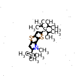 CC(C)[Si](c1cc2sc3c[c]([Sn]([CH3])([CH3])[CH3])n(C)c3c2s1)(C(C)C)C(C)C